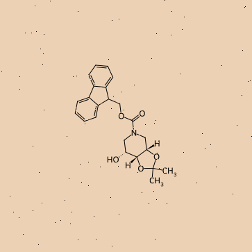 CC1(C)O[C@@H]2[C@H](O)CN(C(=O)OCC3c4ccccc4-c4ccccc43)C[C@@H]2O1